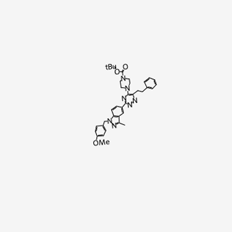 COc1ccc(Cn2nc(C)c3cc(-c4nnc(CCc5ccccc5)c(N5CCN(C(=O)OC(C)(C)C)CC5)n4)ccc32)cc1